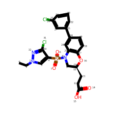 CCn1cc(S(=O)(=O)N2C[C@H](CCC(=O)O)Oc3ccc(-c4cccc(Cl)c4)cc32)c(Cl)n1